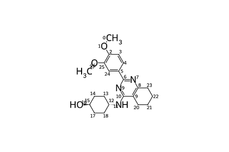 COc1ccc(-c2nc3c(c(N[C@H]4CC[C@H](O)CC4)n2)CCCC3)cc1OC